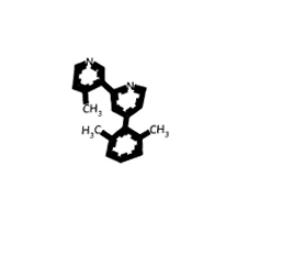 Cc1ccncc1-c1cc(-c2c(C)cccc2C)ccn1